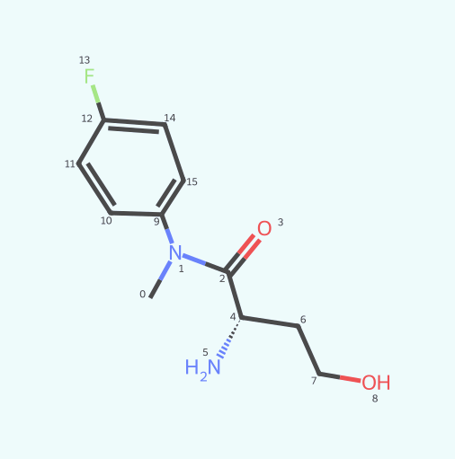 CN(C(=O)[C@@H](N)CCO)c1ccc(F)cc1